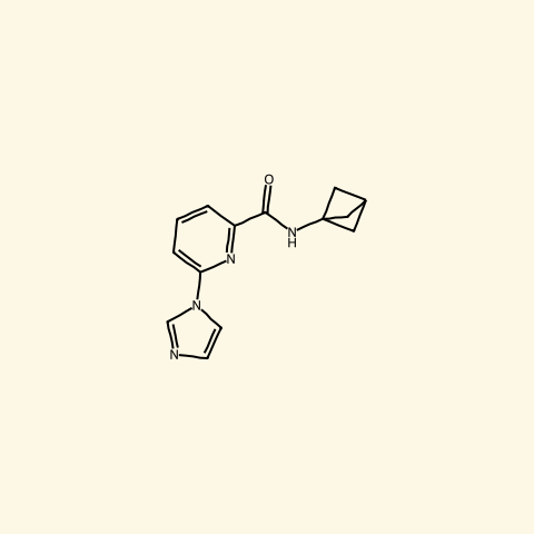 O=C(NC12CC(C1)C2)c1cccc(-n2ccnc2)n1